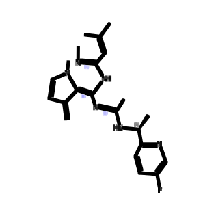 C=c1ccn(C)/c1=C(/N=C(\C)N[C@@H](C)c1ccc(F)cn1)N/C(C=C(C)C)=N/C